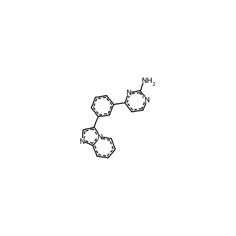 Nc1nccc(-c2cccc(-c3cnc4ccccn34)c2)n1